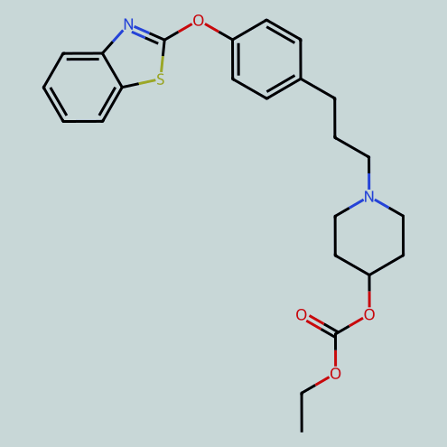 CCOC(=O)OC1CCN(CCCc2ccc(Oc3nc4ccccc4s3)cc2)CC1